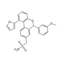 COc1cccc(C2Oc3cccc(-c4ccco4)c3-c3ccc(CS(N)(=O)=O)cc32)c1